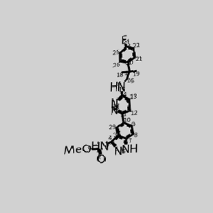 COC(=O)Nc1n[nH]c2ccc(-c3ccc(NCC(C)(C)c4ccc(F)cc4)nn3)cc12